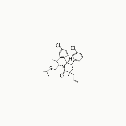 C=CC[C@@]1(C)C[C@H](c2cccc(Cl)c2)[C@H]2c3ccc(Cl)cc3C(C)C(CSC(C)C)N2C1=O